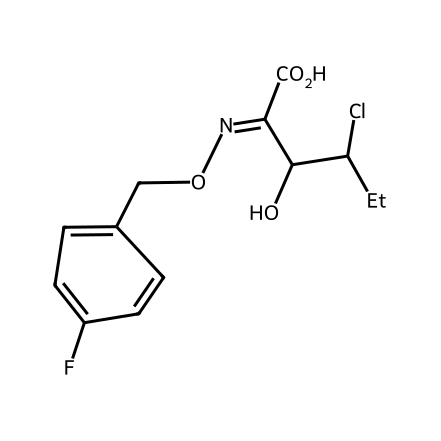 CCC(Cl)C(O)C(=NOCc1ccc(F)cc1)C(=O)O